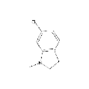 CN1CCc2ccc(Cl)cc21